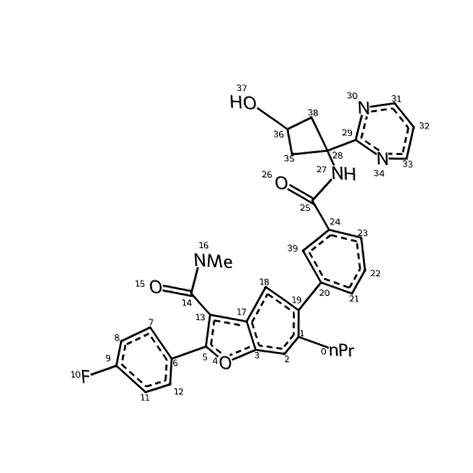 CCCc1cc2oc(-c3ccc(F)cc3)c(C(=O)NC)c2cc1-c1cccc(C(=O)NC2(c3ncccn3)CC(O)C2)c1